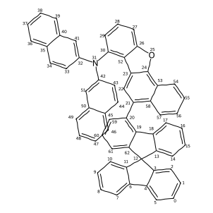 c1ccc2c(c1)-c1ccccc1C21c2ccccc2-c2c(-c3cc4c(oc5cccc(N(c6ccc7ccccc7c6)c6ccc7ccccc7c6)c54)c4ccccc34)cccc21